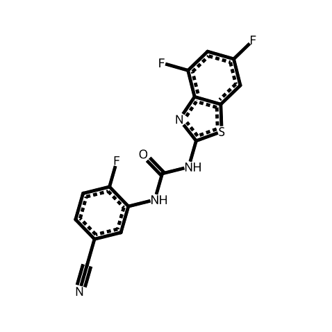 N#Cc1ccc(F)c(NC(=O)Nc2nc3c(F)cc(F)cc3s2)c1